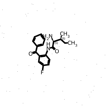 CC[C@H](C)[C@H](N)C(=O)Nc1ccc(F)cc1C(=O)c1ccccc1